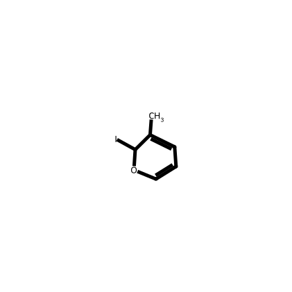 CC1=CC=COC1I